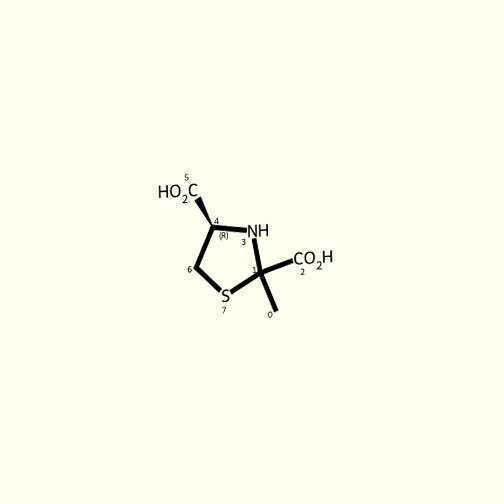 CC1(C(=O)O)N[C@H](C(=O)O)CS1